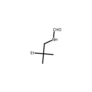 CCC(C)(C)CNC=O